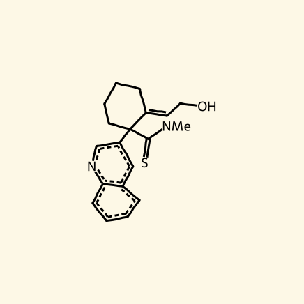 CNC(=S)C1(c2cnc3ccccc3c2)CCCCC1=CCO